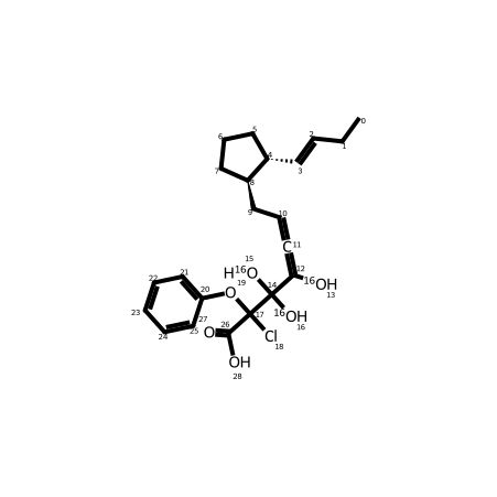 CC/C=C/[C@H]1CCC[C@@H]1CC=C=C([16OH])C([16OH])([16OH])C(Cl)(Oc1ccccc1)C(=O)O